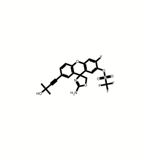 CC(C)(O)C#Cc1ccc2c(c1)C1(COC(N)=N1)c1cc(OS(=O)(=O)C(F)(F)F)c(F)cc1O2